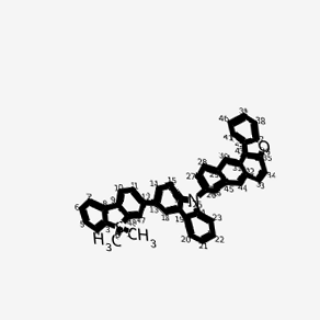 CS1(C)c2ccccc2-c2ccc(-c3ccc4c(c3)c3ccccc3n4-c3ccc4cc5c(ccc6oc7ccccc7c65)cc4c3)cc21